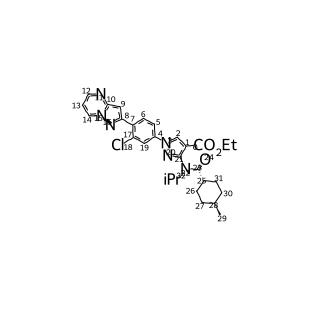 CCOC(=O)c1cn(-c2ccc(-c3cc4ncccn4n3)c(Cl)c2)nc1N(C(=O)[C@H]1CC[C@H](C)CC1)C(C)C